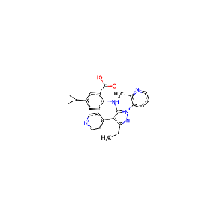 CCc1nn(-c2cccnc2C)c(Nc2ccc(C3CC3)cc2C(=O)O)c1-c1ccncc1